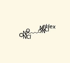 CCCCCCc1nc2c(nc1Cl)=CC(CCCCCC(=O)c1nc3ccccc3nc1Cl)C=2